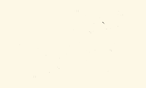 Cc1cc(F)ccc1CN1CCc2cc(-c3c(CO)nc(C)c([C@H](OC(C)(C)C)C(=O)O)c3N3CCC(C)(C)CC3)ccc2C1